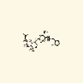 COC1[C@H](OC(=O)N[C@@H](C(=O)NCCC2CCCN2C)C(C)C)CC[C@]2(CO2)[C@H]1[C@@]1(C)O[C@@H]1CC=C(C)C